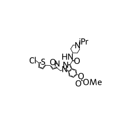 COC(=O)Oc1ccc2c(c1)c(C(=O)NC1CCN(C(C)C)CC1)nn2Cc1cc(-c2ccc(Cl)s2)on1